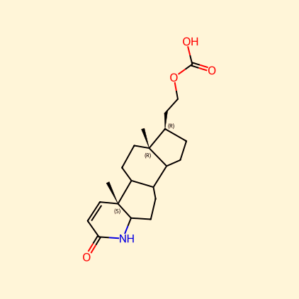 C[C@]12C=CC(=O)NC1CCC1C2CC[C@@]2(C)C1CC[C@@H]2CCOC(=O)O